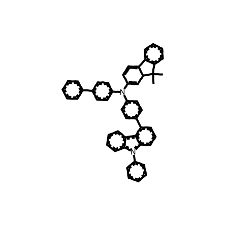 CC1(C)c2ccccc2C2=C=CC(N(c3ccc(-c4ccccc4)cc3)c3ccc(-c4cccc5c4c4ccccc4n5-c4ccccc4)cc3)=CC21